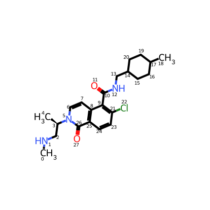 CNC[C@@H](C)n1ccc2c(C(=O)NCC3CCC(C)CC3)c(Cl)ccc2c1=O